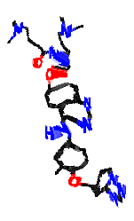 Cc1cc(Nc2ncnc3cc(OCN(CCN(C)C)C(=O)/C=C/CN(C)C)ccc23)ccc1Oc1ccn2ncnc2c1